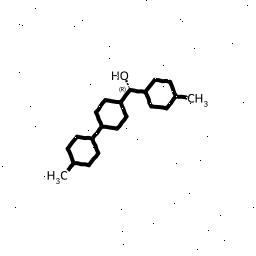 CC1CCC(C2CCC([C@H](O)C3CCC(C)CC3)CC2)CC1